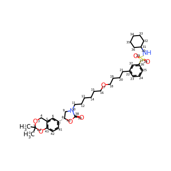 CC1(C)OCc2cc([C@@H]3CN(CCCCCCOCCCCc4cccc(S(=O)(=O)NC5CCCCC5)c4)C(=O)O3)ccc2O1